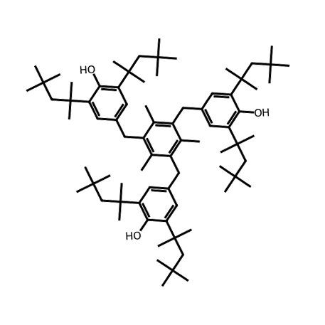 Cc1c(Cc2cc(C(C)(C)CC(C)(C)C)c(O)c(C(C)(C)CC(C)(C)C)c2)c(C)c(Cc2cc(C(C)(C)CC(C)(C)C)c(O)c(C(C)(C)CC(C)(C)C)c2)c(C)c1Cc1cc(C(C)(C)CC(C)(C)C)c(O)c(C(C)(C)CC(C)(C)C)c1